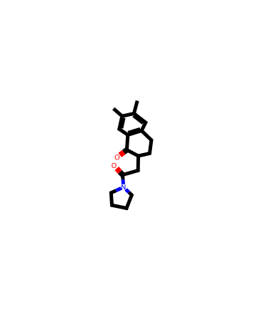 Cc1cc2c(cc1C)C(=O)C(CC(=O)N1CCCC1)CC2